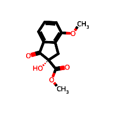 COC(=O)[C@]1(O)Cc2c(OC)cccc2C1=O